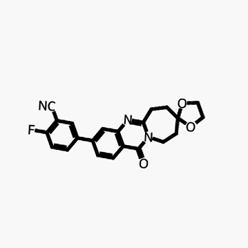 N#Cc1cc(-c2ccc3c(=O)n4c(nc3c2)CCC2(CC4)OCCO2)ccc1F